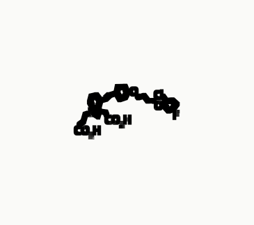 O=C(O)CCCn1cc(CC(=O)O)c2c(/C=C/c3ccc(OCCCCOc4cc(F)ccc4Cl)cc3)cccc21